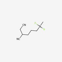 C[Si](F)(F)CCCC(C#N)CC#N